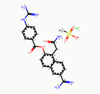 CS(=O)(=O)O.Cl.N=C(N)Nc1ccc(C(=O)Oc2ccc3cc(C(=N)N)ccc3c2CC(N)=O)cc1